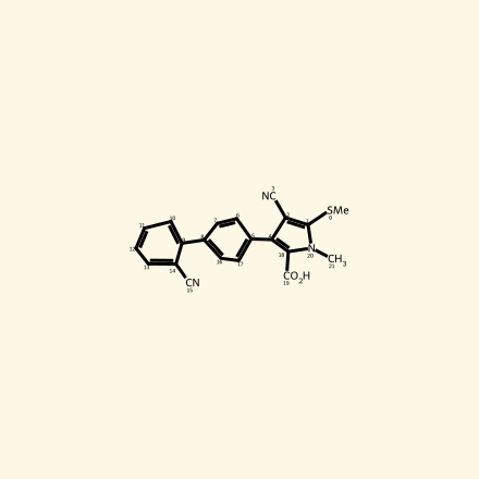 CSc1c(C#N)c(-c2ccc(-c3ccccc3C#N)cc2)c(C(=O)O)n1C